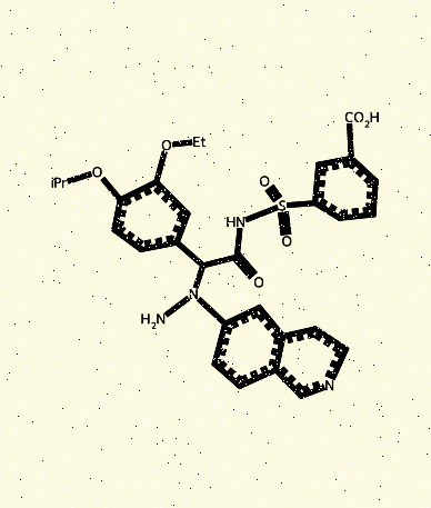 CCOc1cc(C(C(=O)NS(=O)(=O)c2cccc(C(=O)O)c2)N(N)c2ccc3cnccc3c2)ccc1OC(C)C